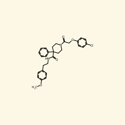 COc1ccc(CCNC(=O)C2(c3ccccc3)CCN(C(=O)COc3ccc(Cl)cc3)CC2)cc1